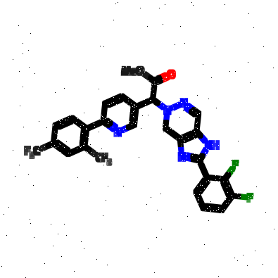 COC(=O)C(c1ccc(-c2ccc(C(F)(F)F)cc2C(F)(F)F)nc1)N1Cc2nc(-c3cccc(F)c3F)[nH]c2C=N1